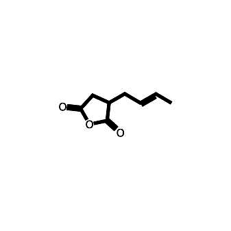 C/C=C/CC1CC(=O)OC1=O